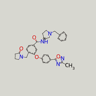 Cc1noc(-c2ccc(Oc3cc(C(=O)N[C@@H]4CCN(Cc5ccccc5)C4)ccc3CN3CCCC3=O)cc2)n1